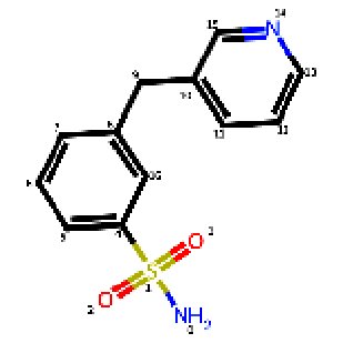 NS(=O)(=O)c1cccc(Cc2cccnc2)c1